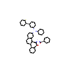 Sc1ccccc1-c1cccc(N(c2ccccc2)c2ccc3ccc4c5ccccc5c5oc(-c6ccccc6)nc5c4c3c2)c1